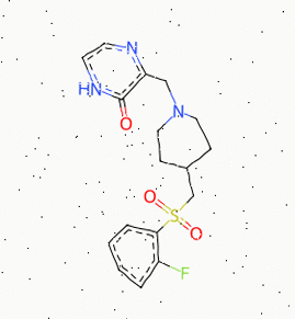 O=c1[nH]ccnc1CN1CCC(CS(=O)(=O)c2ccccc2F)CC1